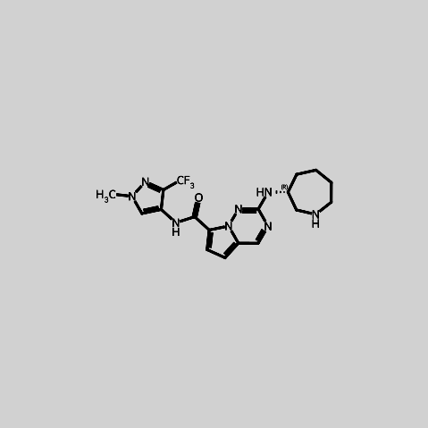 Cn1cc(NC(=O)c2ccc3cnc(N[C@@H]4CCCCNC4)nn23)c(C(F)(F)F)n1